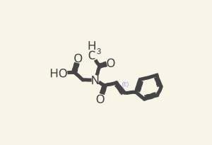 CC(=O)N(CC(=O)O)C(=O)/C=C/c1ccccc1